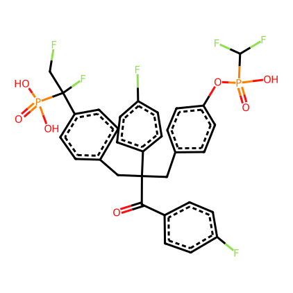 O=C(c1ccc(F)cc1)C(Cc1ccc(OP(=O)(O)C(F)F)cc1)(Cc1ccc(C(F)(CF)P(=O)(O)O)cc1)c1ccc(F)cc1